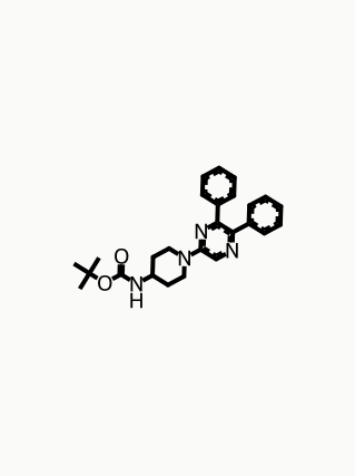 CC(C)(C)OC(=O)NC1CCN(c2cnc(-c3ccccc3)c(-c3ccccc3)n2)CC1